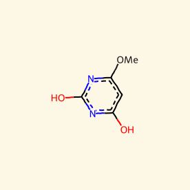 COc1cc(O)nc(O)n1